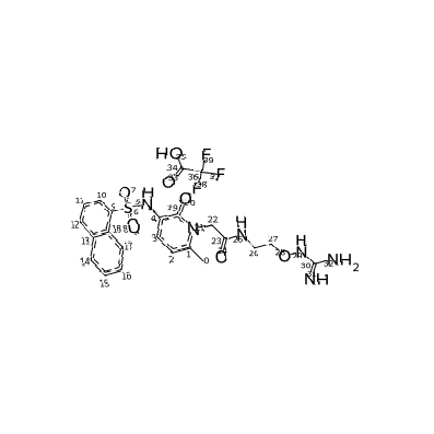 Cc1ccc(NS(=O)(=O)c2cccc3ccccc23)c(=O)n1CC(=O)NCCONC(=N)N.O=C(O)C(F)(F)F